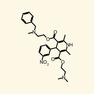 CC1=C(C(=O)OCCN(C)C)C(c2cccc([N+](=O)[O-])c2)C(C(=O)OCCN(C)Cc2ccccc2)=C(C)N1